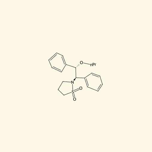 CCCO[C@@H](c1ccccc1)[C@@H](c1ccccc1)N1CCCS1(=O)=O